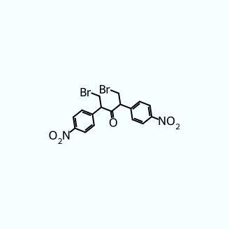 O=C(C(CBr)c1ccc([N+](=O)[O-])cc1)C(CBr)c1ccc([N+](=O)[O-])cc1